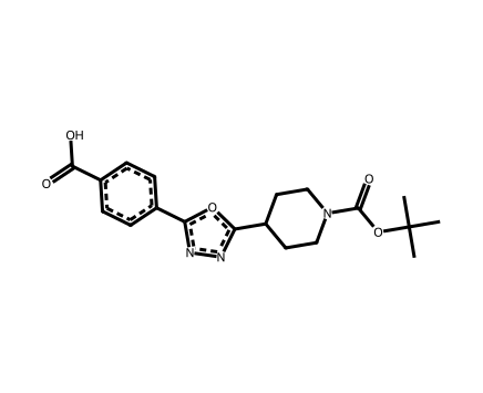 CC(C)(C)OC(=O)N1CCC(c2nnc(-c3ccc(C(=O)O)cc3)o2)CC1